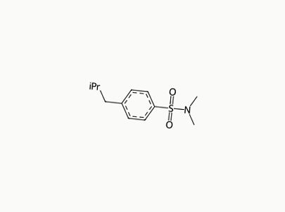 CC(C)Cc1ccc(S(=O)(=O)N(C)C)cc1